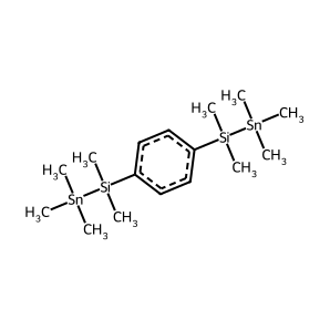 C[Si](C)(c1ccc([Si](C)(C)[Sn]([CH3])([CH3])[CH3])cc1)[Sn]([CH3])([CH3])[CH3]